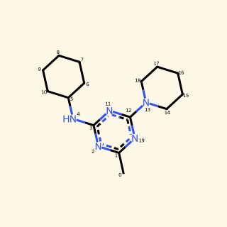 Cc1nc(NC2CCCCC2)nc(N2CCCCC2)n1